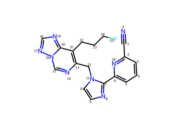 N#Cc1cccc(-c2nccn2Cc2ncn3ncnc3c2CCCF)n1